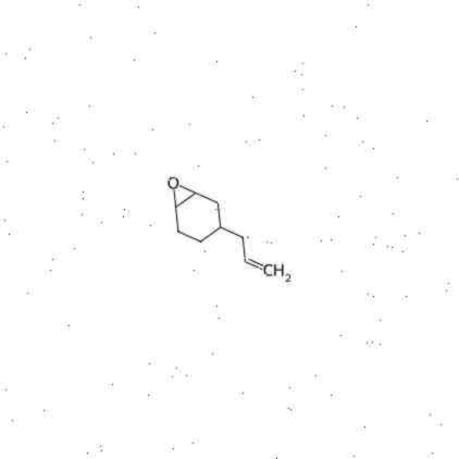 C=C[CH]C1CCC2OC2C1